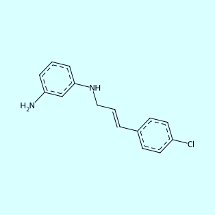 Nc1cccc(NCC=Cc2ccc(Cl)cc2)c1